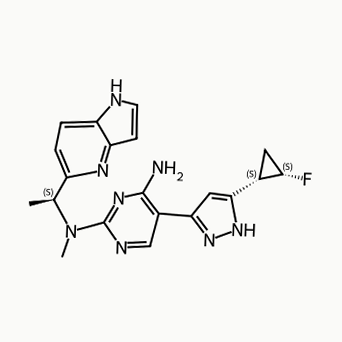 C[C@@H](c1ccc2[nH]ccc2n1)N(C)c1ncc(-c2cc([C@@H]3C[C@@H]3F)[nH]n2)c(N)n1